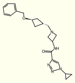 O=C(NC1CN(C[C@H]2C[C@H](OCc3ccccc3)C2)C1)c1cn(C2CC2)nn1